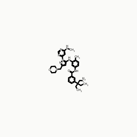 CCC(CC)(CC)c1cccc(C(=O)Nc2ccc(C)c(Nc3cc(CN4CCOCC4)nn3-c3cc(NC)ncn3)c2)c1